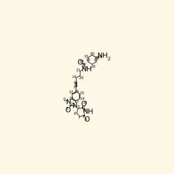 Cn1c(=O)n(C2CCC(=O)NC2=O)c2ccc(C#CCCCNC(=O)[C@H]3CC[C@H](N)CC3)cc21